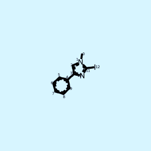 Cn1cc(-c2ccccc2)nc1I